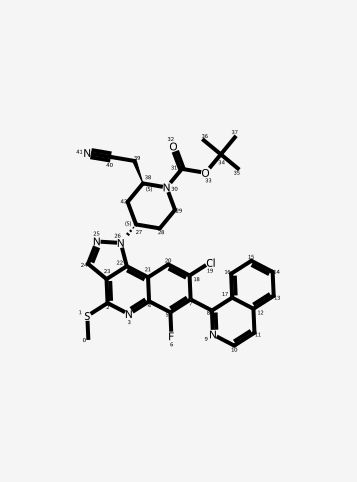 CSc1nc2c(F)c(-c3nccc4ccccc34)c(Cl)cc2c2c1cnn2[C@H]1CCN(C(=O)OC(C)(C)C)[C@H](CC#N)C1